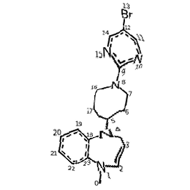 CN1C=CN(C2CCN(c3ncc(Br)cn3)CC2)c2ccccc21